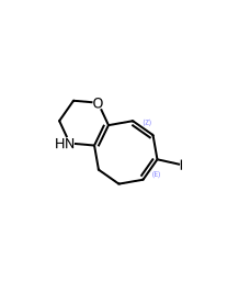 IC1=C/CCC2=C(/C=C\1)OCCN2